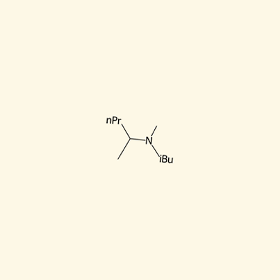 CCCC(C)N(C)C(C)CC